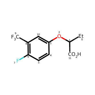 CCC(Oc1ccc(F)c(C(F)(F)F)c1)C(=O)O